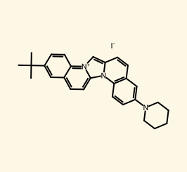 CC(C)(C)c1ccc2c(ccc3n4c(ccc5cc(N6CCCCC6)ccc54)c[n+]23)c1.[I-]